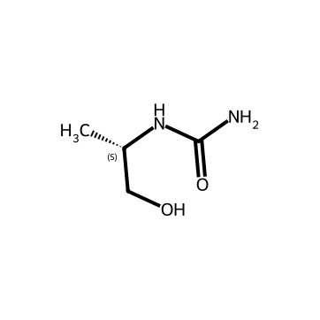 C[C@@H](CO)NC(N)=O